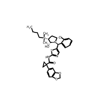 CCCC[Si](C)(C)[C@@H]1CCN(C(c2cnc(NC(=O)C3(c4ccc5c(c4)OCO5)CC3)s2)c2ccccc2Cl)[C@@H]1O